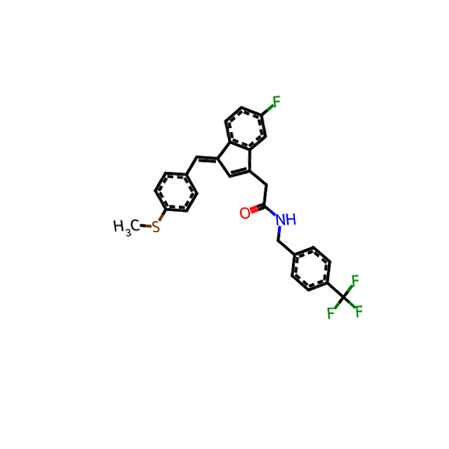 CSc1ccc(/C=C2\C=C(CC(=O)NCc3ccc(C(F)(F)F)cc3)c3cc(F)ccc32)cc1